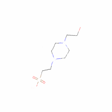 O=S(=O)(O)CCN1CCN(CCO)CC1.[CaH2]